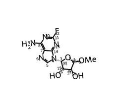 CO[C@@H]1O[C@@H](n2cnc3c(N)nc(F)nc32)[C@@H](O)[C@@H]1O